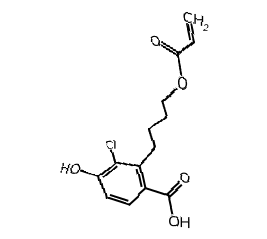 C=CC(=O)OCCCCc1c(C(=O)O)ccc(O)c1Cl